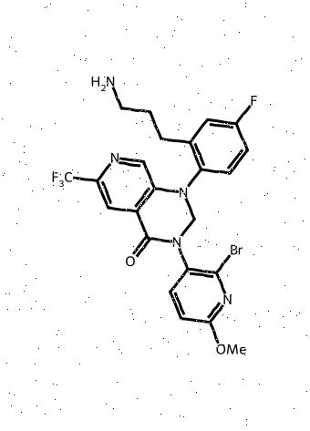 COc1ccc(N2CN(c3ccc(F)cc3CCCN)c3cnc(C(F)(F)F)cc3C2=O)c(Br)n1